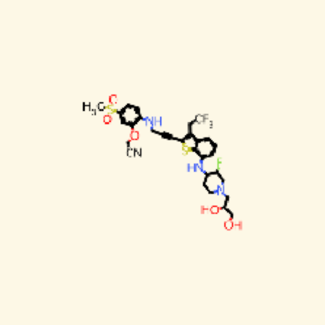 CS(=O)(=O)c1ccc(NCC#Cc2sc3c(NC4CCN(CC(O)CO)CC4F)cccc3c2CC(F)(F)F)c(OCC#N)c1